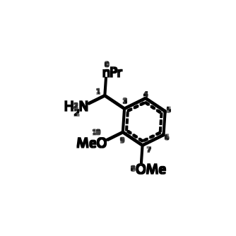 C[CH]CC(N)c1cccc(OC)c1OC